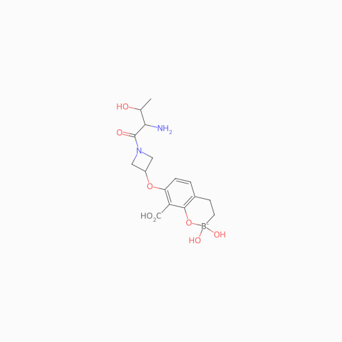 CC(O)C(N)C(=O)N1CC(Oc2ccc3c(c2C(=O)O)O[B-](O)(O)CC3)C1